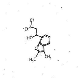 CCN(CC)CC(O)c1cccc2c(C)c(C)oc12